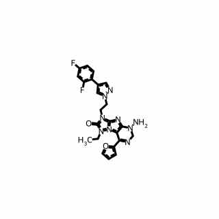 CCn1c(=O)n(CCn2cc(-c3ccc(F)cc3F)cn2)c2nc3c(n21)C(c1ccco1)=NCN3N